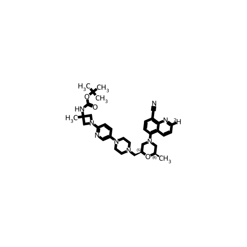 [2H]c1ccc2c(N3C[C@H](CN4CCN(c5ccc(N6CC(C)(NC(=O)OC(C)(C)C)C6)nc5)CC4)O[C@H](C)C3)ccc(C#N)c2n1